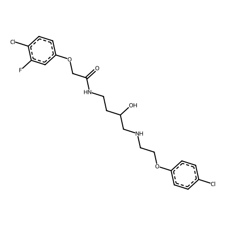 O=C(COc1ccc(Cl)c(F)c1)NCCC(O)CNCCOc1ccc(Cl)cc1